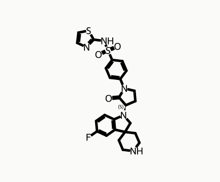 O=C1[C@@H](N2CC3(CCNCC3)c3cc(F)ccc32)CCN1c1ccc(S(=O)(=O)Nc2nccs2)cc1